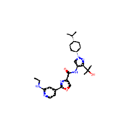 CCNc1cc(-c2nc(C(=O)Nc3cn([C@H]4CC[C@@H](C(C)C)CC4)nc3C(C)(C)O)co2)ccn1